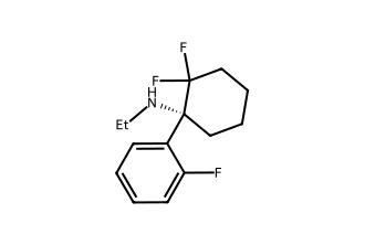 CCN[C@@]1(c2ccccc2F)CCCCC1(F)F